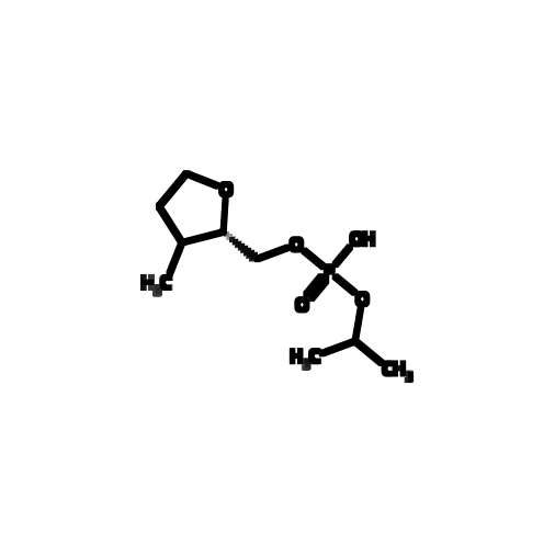 CC(C)OP(=O)(O)OC[C@H]1OCCC1C